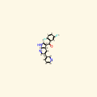 O=C(c1cc(F)ccc1F)c1c[nH]c2ncc(-c3cccnc3)cc12